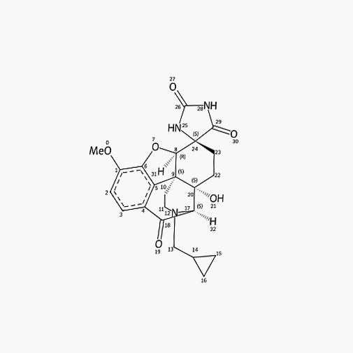 COc1ccc2c3c1O[C@@H]1[C@]34CCN(CC3CC3)[C@H](C2=O)[C@]4(O)CC[C@]12NC(=O)NC2=O